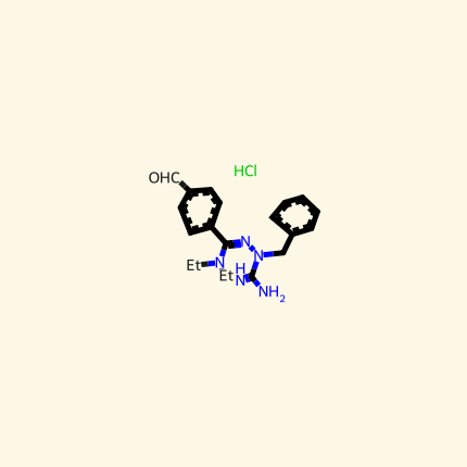 CCN(CC)C(=NN(Cc1ccccc1)C(=N)N)c1ccc(C=O)cc1.Cl